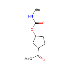 COC(=O)C1CCC(OC(=O)NC(C)(C)C)C1